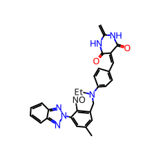 C=c1[nH]c(=O)c(=Cc2ccc(N(CC)Cc3cc(C)cc(-n4nc5ccccc5n4)c3N=O)cc2)c(=O)[nH]1